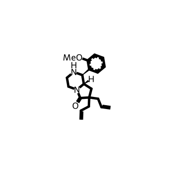 C=CCC1(CC=C)C[C@H]2[C@H](c3ccccc3OC)NCCN2C1=O